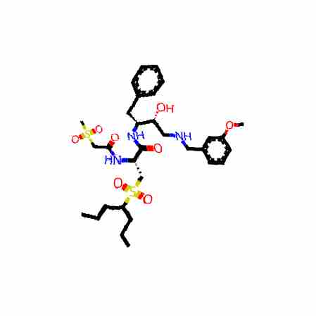 CCCC(CCC)S(=O)(=O)C[C@H](NC(=O)CS(C)(=O)=O)C(=O)N[C@@H](Cc1ccccc1)[C@H](O)CNCc1cccc(OC)c1